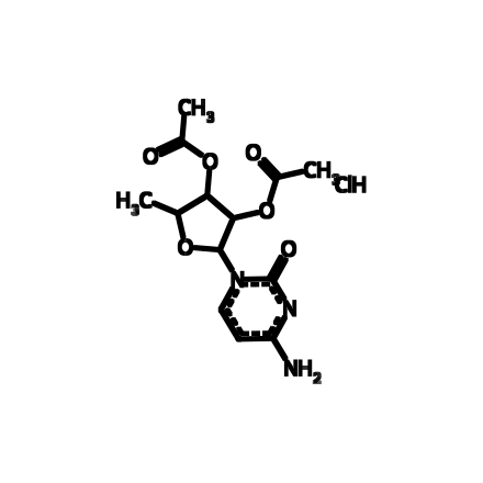 CC(=O)OC1C(C)OC(n2ccc(N)nc2=O)C1OC(C)=O.Cl